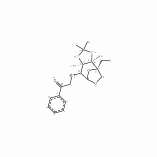 CC[C@@]12COC(O1)[C@@H](NCC(=O)c1ccccc1)[C@H]1OC(C)(C)O[C@H]12